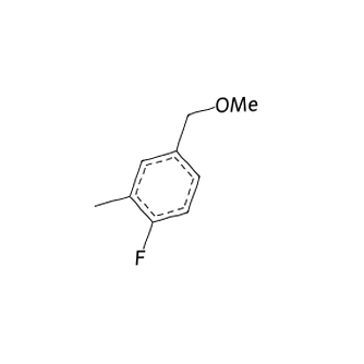 [CH2]OCc1ccc(F)c(C)c1